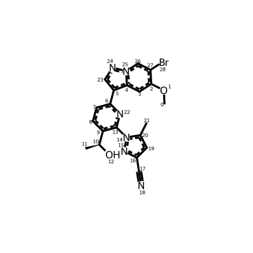 COc1cc2c(-c3ccc([C@H](C)O)c(-n4nc(C#N)cc4C)n3)cnn2cc1Br